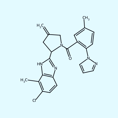 C=C1CC(c2nc3ccc(Cl)c(C)c3[nH]2)N(C(=O)c2cc(C)ccc2-n2cccn2)C1